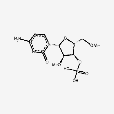 COC[C@H]1O[C@@H](n2ccc(N)nc2=O)[C@H](OC)[C@@H]1OP(=O)(O)O